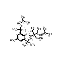 Cc1cc(C(C)(C)C)c(OCC(CO)(CO)CO)c(C(C)(C)C)c1.OP(O)O.OP(O)O